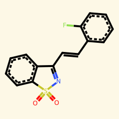 O=S1(=O)N=C(C=Cc2ccccc2F)c2ccccc21